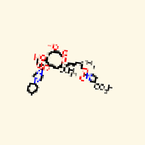 C/C(=C\C=C\[C@@H](C)COC(=O)N1CC[C@H](C(=O)O)C1)[C@H]1OC(=O)C[C@@H](O)CC[C@](C)(O)[C@@H](OC(=O)N2CCN(C3CCCCCC3)CC2)/C=C/[C@@H]1C